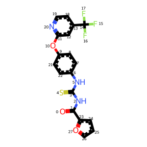 O=C(NC(=S)Nc1ccc(Oc2cc(C(F)(F)F)ccn2)cc1)c1ccco1